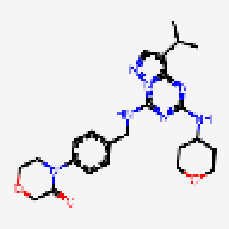 CC(C)c1cnn2c(NCc3ccc(N4CCOCC4=O)cc3)nc(NC3CCOCC3)nc12